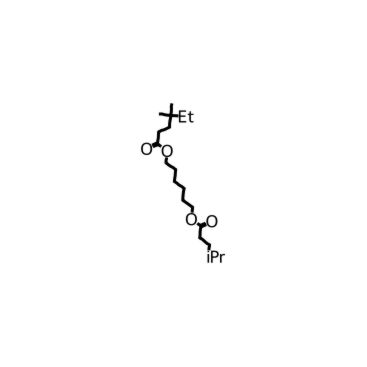 CCC(C)(C)CCC(=O)OCCCCCCOC(=O)CCC(C)C